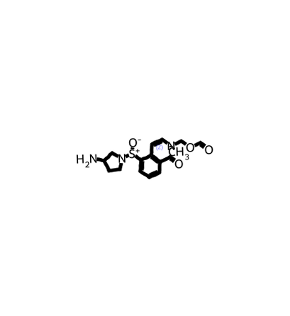 CN(/C=C\c1c(C=O)cccc1[S+]([O-])N1CCC(N)C1)COC=O